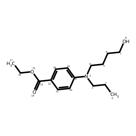 CCCN(CCCCO)c1ccc(C(=O)OCC)cc1